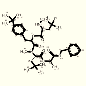 CN[C@@H](CC(C)(C)F)C(=O)OC(Cc1ccc(C(C)(C)C)cc1)C(=O)N(C)[C@@H](CC(C)(C)C)C(=O)O[C@H](C)C(=O)OCc1ccccc1